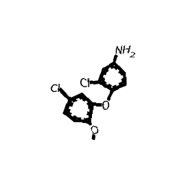 COc1ccc(Cl)cc1Oc1ccc(N)cc1Cl